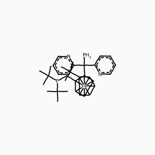 CC(C)(C)P(C[C]12[CH]3[CH]4[CH]5[C]1(C(P)(c1ccccn1)c1ccccn1)[Fe]43521678[CH]2[CH]1[CH]6[C]7(C(C)(C)C)[CH]28)C(C)(C)C